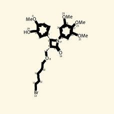 COc1ccc([C@H]2[C@@H](COCCCCCBr)C(=O)N2c2cc(OC)c(OC)c(OC)c2)cc1O